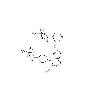 CC(C)(C)OC(=O)N1CCN(c2c(C#N)cnc3ccc(Cl)cc23)CC1.CC(C)(C)OC(=O)N1CCNCC1